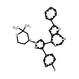 CC1(C)C[C@@H](n2cc(-c3ncnc4oc(-c5ccccc5)cc34)c(-c3ccc(F)cc3)n2)CCO1